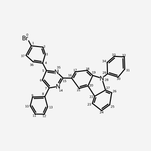 Brc1ccc(-c2cc(-c3ccccc3)nc(-c3ccc4c(c3)c3ccccc3n4-c3ccccc3)n2)cc1